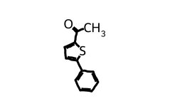 CC(=O)c1ccc(-c2ccccc2)s1